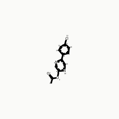 CC(=O)Oc1cnc(-c2ccc(Cl)cc2)cn1